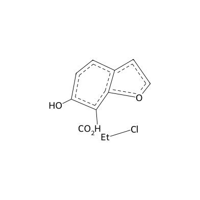 CCCl.O=C(O)c1c(O)ccc2ccoc12